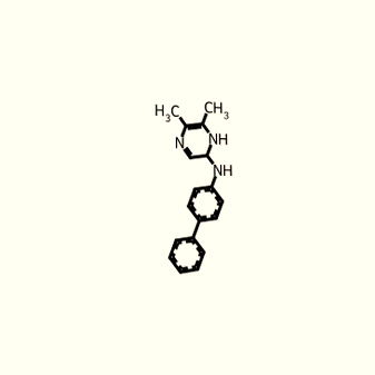 CC1=C(C)NC(Nc2ccc(-c3ccccc3)cc2)C=N1